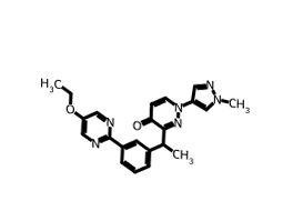 CCOc1cnc(-c2cccc(C(C)c3nn(-c4cnn(C)c4)ccc3=O)c2)nc1